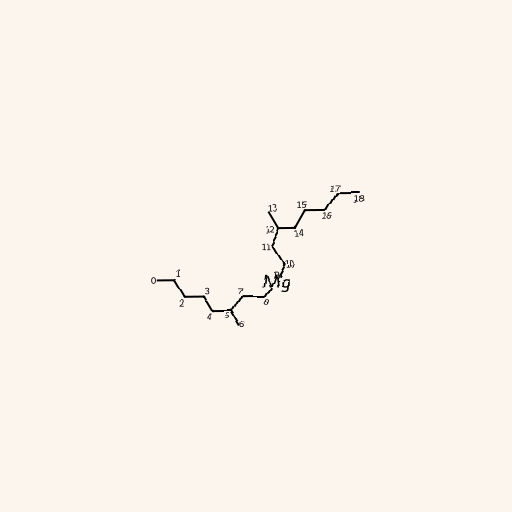 CCCCCC(C)C[CH2][Mg][CH2]CC(C)CCCCC